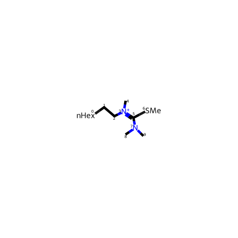 CCCCCCCC/[N+](C)=C(/SC)N(C)C